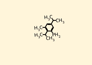 Cc1cc(C(C)C)cc(P)c1C(C)C